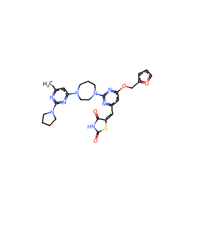 Cc1cc(N2CCCN(c3nc(C=C4SC(=O)NC4=O)cc(OCc4ccco4)n3)CC2)nc(N2CCCC2)n1